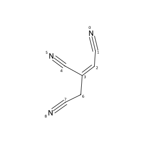 N#CC=C(C#N)CC#N